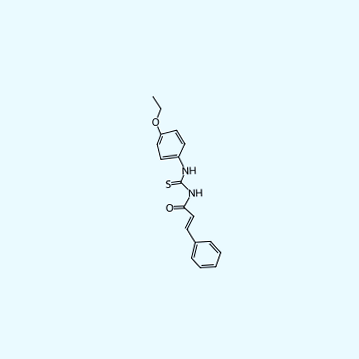 CCOc1ccc(NC(=S)NC(=O)C=Cc2ccccc2)cc1